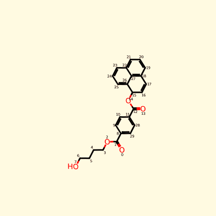 O=C(OCCCCO)c1ccc(C(=O)OC2C=Cc3cccc4cccc2c34)cc1